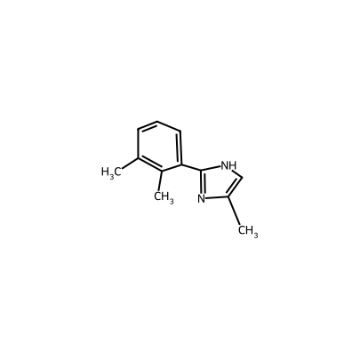 Cc1c[nH]c(-c2cccc(C)c2C)n1